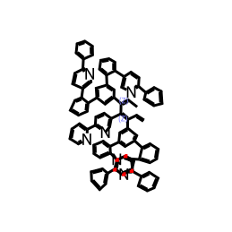 C=C/C(=C(\C(=C/C)c1cc(-c2ccccc2-c2ccc(-c3ccccc3)nc2)cc(-c2ccccc2-c2ccc(-c3ccccc3)nc2)c1)c1ccc(-c2ccccn2)nc1)c1cc(-c2ccccc2-c2ccc(-c3ccccc3)nc2)cc(-c2ccccc2-c2ccc(-c3ccccc3)nc2)c1